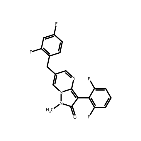 Cn1c(=O)c(-c2c(F)cccc2F)c2ncc(Cc3ccc(F)cc3F)cn21